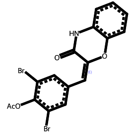 CC(=O)Oc1c(Br)cc(/C=C2/Oc3ccccc3NC2=O)cc1Br